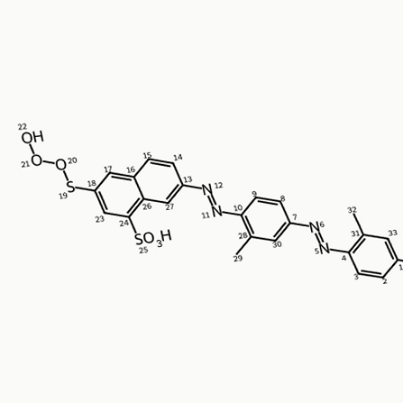 Cc1ccc(N=Nc2ccc(N=Nc3ccc4cc(SOOO)cc(S(=O)(=O)O)c4c3)c(C)c2)c(C)c1